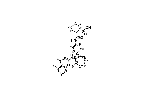 Cc1ccccc1[C@@H](C)OC(=O)NC1=C(c2ccc(NC(=O)[C@H]3CCCC[C@@H]3C(=O)O)cc2)N=CCCC1C